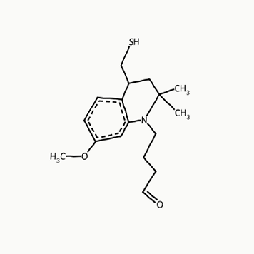 COc1ccc2c(c1)N(CCCC=O)C(C)(C)CC2CS